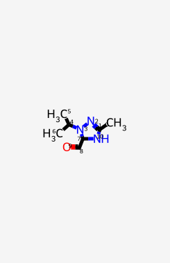 CC1=NN(C(C)C)C(C=O)N1